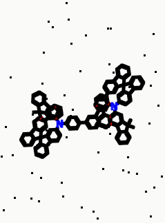 CC1(C)c2ccccc2-c2ccc(N(c3ccc(-c4cccc(-c5ccc(-c6ccc7c(c6)C6(c8ccccc8-7)c7ccccc7-c7ccc(N(c8ccc9c(c8)C(C)(C)c8ccccc8-9)c8ccccc8-c8ccccc8)cc76)cc5)c4)cc3)c3ccc4c(c3)C3(c5ccccc5-c5ccc(-c6ccccc6)cc53)c3ccccc3-4)cc21